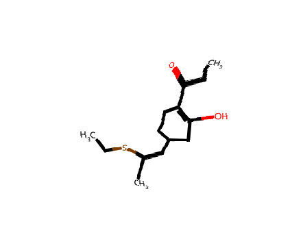 CCSC(C)CC1CCC(C(=O)CC)=C(O)C1